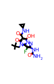 CC(C)(C)Cn1c(=O)c(C(=O)NC2CC2)c(O)n2nc(NC(N)=O)c(F)c12